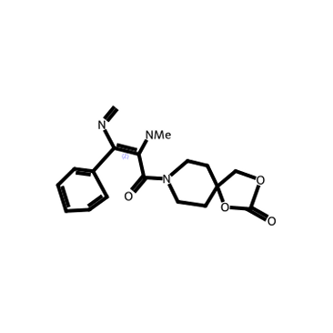 C=N/C(=C(\NC)C(=O)N1CCC2(CC1)COC(=O)O2)c1ccccc1